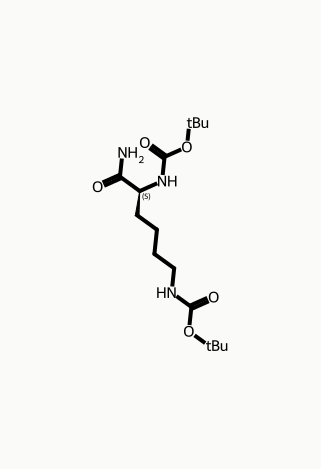 CC(C)(C)OC(=O)NCCCC[C@H](NC(=O)OC(C)(C)C)C(N)=O